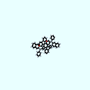 c1ccc(N(c2ccc3c(c2)C2(c4ccccc4-c4ccccc42)c2ccc(N(c4ccccc4)c4ccc5ccccc5c4)cc2C32c3ccccc3-c3ccccc32)c2ccc3ccccc3c2)cc1